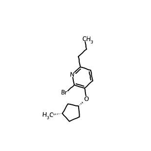 CCCc1ccc(O[C@@H]2CC[C@H](C)C2)c(Br)n1